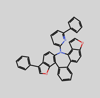 c1ccc(-c2cccc(N3c4ccc5c(-c6ccccc6)coc5c4-c4ccccc4-c4ccc5occc5c43)n2)cc1